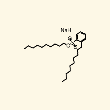 CCCCCCCCCCOS(=O)(=O)c1ccccc1CCCCCCCCCC.[NaH]